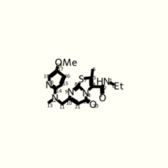 CCNC(=O)c1c(C)sc2nc(CN(C)c3ccc(OC)cn3)cc(=O)n12